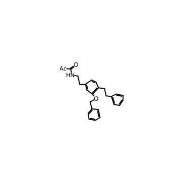 CC(=O)C(=O)NCCc1ccc(CCc2ccccc2)c(OCc2ccccc2)c1